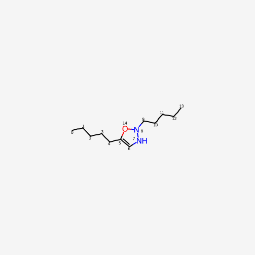 CCCCCC1=CNN(CCCCC)O1